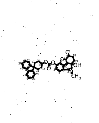 CN1C2C13CC14c5c3ccc(OC(=O)OC3CCC(c6ccccc6)(c6ccccc6)CC3)c5OC1C(=O)CCC24O